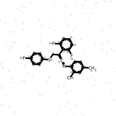 Cc1ccc(N=C=C(CSc2ccc(F)cc2)c2c(F)cccc2F)c(Cl)c1